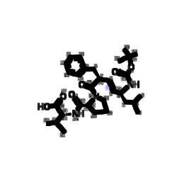 CC(C)C[C@@H](/C=C/[C@H](Cc1ccccc1)C(=O)N1CCC[C@H]1C(=O)N[C@@H](C(=O)O)C(C)C)NC(=O)OC(C)(C)C